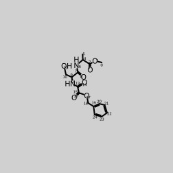 COC(=O)C(C)NC(=O)C(CO)NC(=O)C(=O)OCc1ccccc1